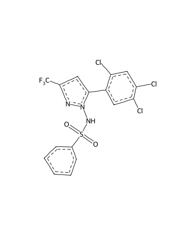 O=S(=O)(Nn1nc(C(F)(F)F)cc1-c1cc(Cl)c(Cl)cc1Cl)c1ccccc1